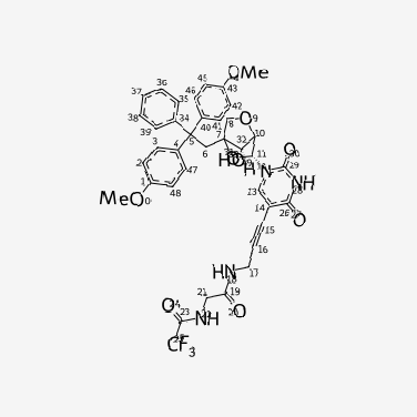 COc1ccc(C(CC23COC([C@H](n4cc(C#CCNC(=O)CNC(=O)C(F)(F)F)c(=O)[nH]c4=O)O2)[C@H]3O)(c2ccccc2)c2ccc(OC)cc2)cc1